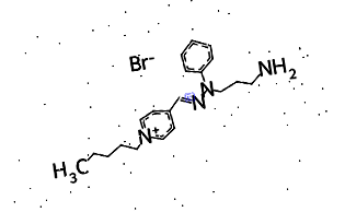 CCCCC[n+]1ccc(/C=N/N(CCCN)c2ccccc2)cc1.[Br-]